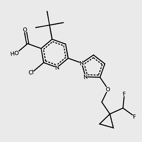 CC(C)(C)c1cc(-n2ccc(OCC3(C(F)F)CC3)n2)nc(Cl)c1C(=O)O